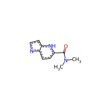 CN(C)C(=O)c1ccc2nccc-2[nH]1